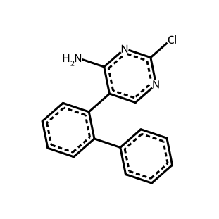 Nc1nc(Cl)ncc1-c1ccccc1-c1ccccc1